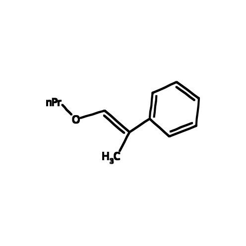 CCCO/C=C(\C)c1ccccc1